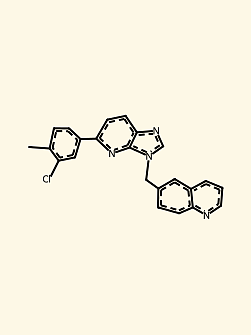 Cc1ccc(-c2ccc3ncn(Cc4ccc5ncccc5c4)c3n2)cc1Cl